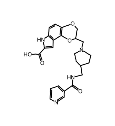 O=C(NCC1CCN(CC2COc3ccc4[nH]c(C(=O)O)cc4c3O2)CC1)c1cccnc1